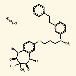 CCN1C(=O)C(C)(C)C(=O)N(CC)c2cc(OCCCN(C)c3ccnc(CCc4cccnc4)c3)ccc21.Cl.Cl.Cl